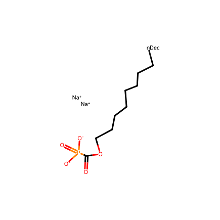 CCCCCCCCCCCCCCCCCCOC(=O)P(=O)([O-])[O-].[Na+].[Na+]